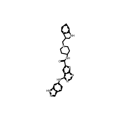 O=C(NC1CCN(CC2CNc3ccccc32)CC1)c1cc2c(Nc3ccc4cn[nH]c4c3)ncnc2s1